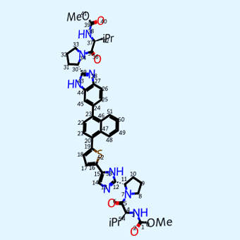 COC(=O)N[C@H](C(=O)N1CCC[C@H]1c1ncc(-c2ccc(-c3ccc(-c4ccc5nc([C@@H]6CCCN6C(=O)[C@@H](NC(=O)OC)C(C)C)[nH]c5c4)c4c3C=C=C=C4)s2)[nH]1)C(C)C